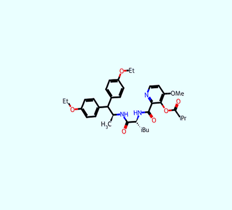 CCOc1ccc(C(c2ccc(OCC)cc2)[C@H](C)NC(=O)[C@@H](NC(=O)c2nccc(OC)c2OC(=O)C(C)C)[C@@H](C)CC)cc1